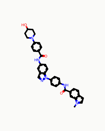 Cn1ccc2ccc(C(=O)Nc3ccc(-n4ncc5cc(NC(=O)c6ccc(N7CCC(O)CC7)cc6)ccc54)cc3)cc21